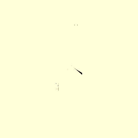 O=C1C=C2CCNC[C@@]2(Cc2ccccc2)CC1